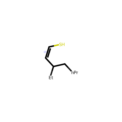 CCCCC(/C=C\S)CC